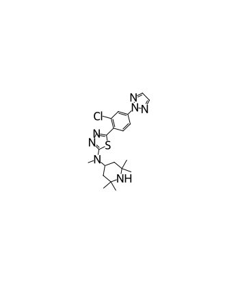 CN(c1nnc(-c2ccc(-n3nccn3)cc2Cl)s1)C1CC(C)(C)NC(C)(C)C1